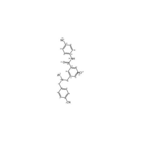 CC(C)N(Cc1ccc(C#N)cc1)Cc1cccc(C(=O)Nc2ccc(C#N)cc2)c1.Cl